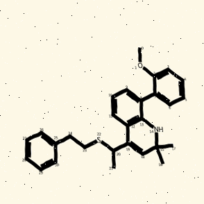 COc1ccccc1-c1cccc2c1NC(C)(C)C=C2C(C)SCCc1ccccc1